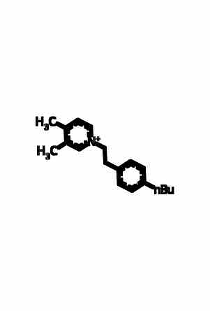 CCCCc1ccc(CC[n+]2ccc(C)c(C)c2)cc1